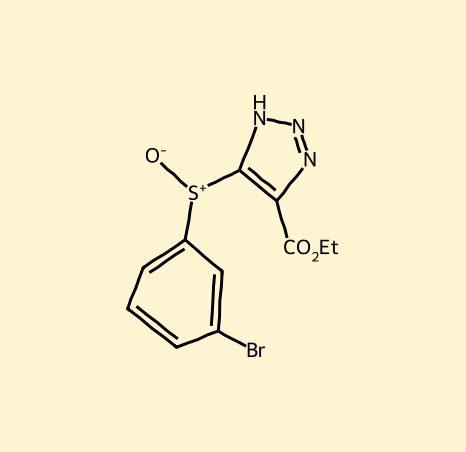 CCOC(=O)c1nn[nH]c1[S+]([O-])c1cccc(Br)c1